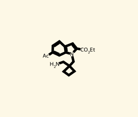 CCOC(=O)c1cc2ccc(C(C)=O)cc2n1CC1(CN)CCC1